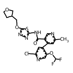 Cc1cc(-c2cc(Cl)ncc2OC(F)F)c(C(=O)Nc2nnc(OCC3CCOC3)s2)cn1